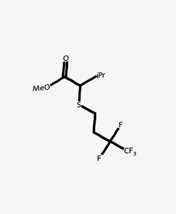 COC(=O)C(SCCC(F)(F)C(F)(F)F)C(C)C